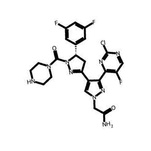 NC(=O)Cn1cc(C2=NN(C(=O)N3CCNCC3)[C@H](c3cc(F)cc(F)c3)C2)c(-c2nc(Cl)ncc2F)n1